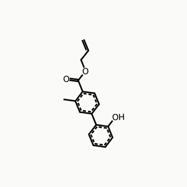 C=CCOC(=O)c1ccc(-c2ccccc2O)cc1C